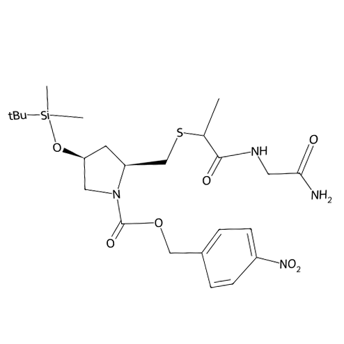 CC(SC[C@@H]1C[C@H](O[Si](C)(C)C(C)(C)C)CN1C(=O)OCc1ccc([N+](=O)[O-])cc1)C(=O)NCC(N)=O